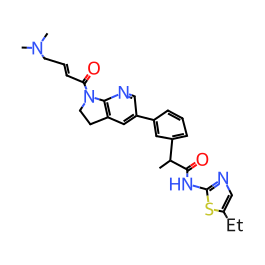 CCc1cnc(NC(=O)C(C)c2cccc(-c3cnc4c(c3)CCN4C(=O)C=CCN(C)C)c2)s1